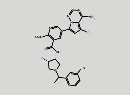 COc1ncc(-c2cc(C(F)(F)F)c3c(N)ncnn23)cc1C(=O)N[C@@H]1CN(C(C)c2cccc(C#N)c2)C[C@@H]1F